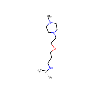 CC(C)[C@H](C)NCCCOCCN1CCN(C(C)(C)C)CC1